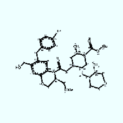 COC[C@H]1COc2nc(CO)c(Cc3ccc(F)cc3)cc2N1C(=O)CN1C[C@@H](C)N(C(=O)OC(C)(C)C)C[C@@H]1CN1CCOC[C@H]1C